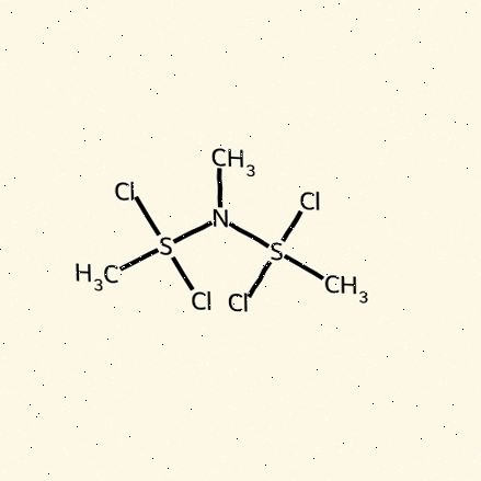 CN(S(C)(Cl)Cl)S(C)(Cl)Cl